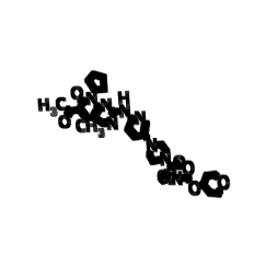 CC(=O)c1c(C)c2cnc(Nc3ccc(N4CCN(S(=O)(=O)NC(=O)OC5CCOCC5)CC4)cn3)nc2n(C2CCCC2)c1=O